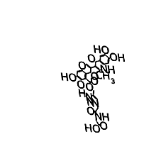 Cc1[nH]c2cc(O)c(O)cc2c(=O)c1-c1coc2cc(O)c(O)c(C(=O)OCc3cn(CC(=O)NCC(=O)O)nn3)c2c1=O